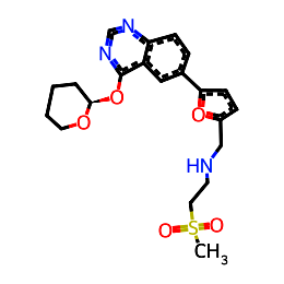 CS(=O)(=O)CCNCc1ccc(-c2ccc3ncnc(O[C@@H]4CCCCO4)c3c2)o1